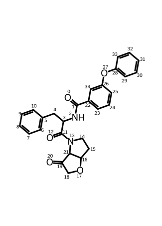 O=C(NC(Cc1ccccc1)C(=O)N1CCC2OCC(=O)C21)c1cccc(Oc2ccccc2)c1